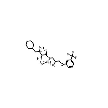 CNN(CC(O)COc1cccc(C(F)(F)F)c1)C(=O)C(O)[C@H](N)CC1CCCCC1